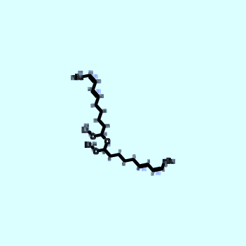 CCCC/C=C\C=C\CCCCC(OCC)OC(CCCC/C=C/C=C\CCCC)OCC